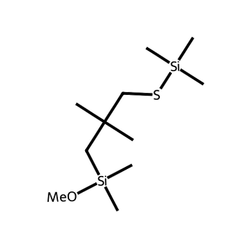 CO[Si](C)(C)CC(C)(C)CS[Si](C)(C)C